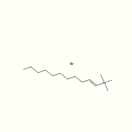 CCCCCCCCCC=C[N+](C)(C)C.[Br-]